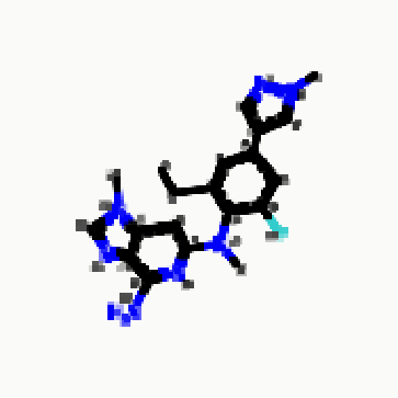 CCc1cc(-c2cnn(C)c2)cc(F)c1N(C)c1cc2c(ncn2C)c(N)n1